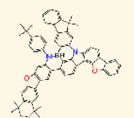 CC(C)(C)c1ccc(Nc2cc3oc4cc5c(cc4c3cc2-c2ccc3c4c6oc7ccccc7c6ccc4n4c3c2Bc2cc3c(cc2-4)C(C)(C)c2ccccc2-3)C(C)(C)CCC5(C)C)cc1